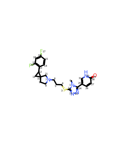 Cn1c(SCCCN2CCC3(CC3c3ccc(F)cc3F)C2)nnc1-c1ccc(=O)[nH]c1